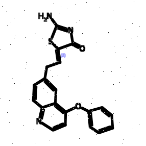 NC1=NC(=O)/C(=C/Cc2ccc3nccc(Oc4ccccc4)c3c2)S1